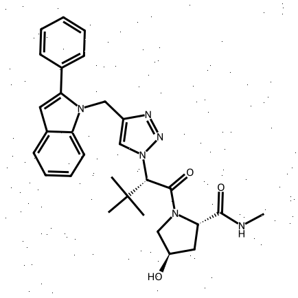 CNC(=O)[C@@H]1C[C@@H](O)CN1C(=O)[C@@H](n1cc(Cn2c(-c3ccccc3)cc3ccccc32)nn1)C(C)(C)C